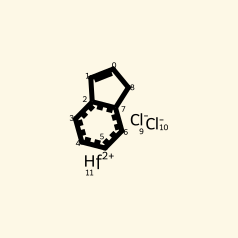 C1=Cc2ccccc2C1.[Cl-].[Cl-].[Hf+2]